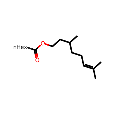 CCCCCCC(=O)OCCC(C)CCC=C(C)C